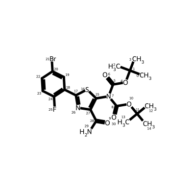 CC(C)(C)OC(=O)N(C(=O)OC(C)(C)C)c1sc(-c2cc(Br)ccc2F)nc1C(N)=O